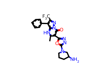 Cc1[nH]c2c(-c3ccccc3)c(C(F)(F)F)nn2c(=O)c1-c1nnc(N2CCCC(N)C2)o1